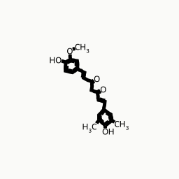 COc1cc(/C=C/C(=O)CC(=O)/C=C/c2cc(C)c(O)c(C)c2)ccc1O